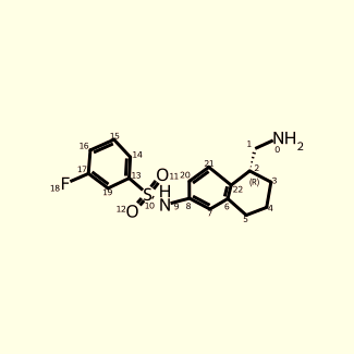 NC[C@@H]1CCCc2cc(NS(=O)(=O)c3cccc(F)c3)ccc21